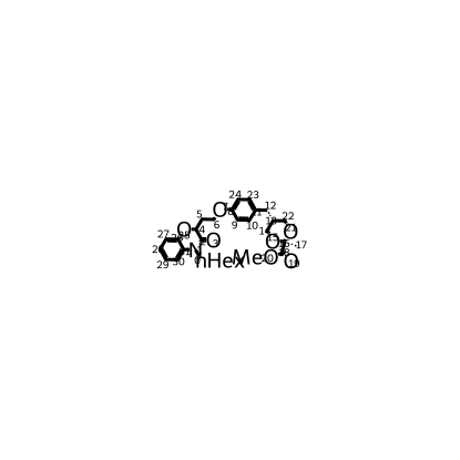 CCCCCCN1C(=O)C(CCOc2ccc(C[C@H]3CO[C@](C)(C(=O)OC)OC3)cc2)Oc2ccccc21